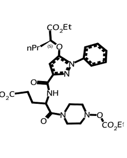 CCC[C@H](Oc1cc(C(=O)NC(CCC(=O)O)C(=O)N2CCN(OC(=O)OCC)CC2)nn1-c1ccccc1)C(=O)OCC